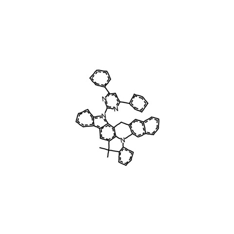 CC1(C)c2ccccc2N2c3cc4ccccc4cc3Cc3c2c1cc1c2ccccc2n(-c2nc(-c4ccccc4)cc(-c4ccccc4)n2)c31